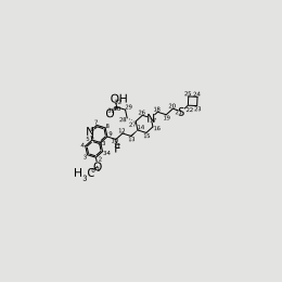 COc1ccc2nccc([C@H](F)CC[C@@H]3CCN(CCCSC4CCC4)C[C@H]3CCC(=O)O)c2c1